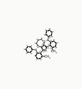 Cc1cccc(Cc2ccccc2)c1-c1sc(-c2c(C)cccc2Cc2ccccc2)c2c1OCCCO2